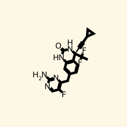 CC(F)(F)[C@@]1(C#CC2CC2)NC(=O)Nc2cc(Cc3nc(N)ncc3F)ccc21